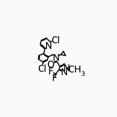 Cn1cc(C(=O)N(Cc2cc(Cl)ccc2-c2cccc(Cl)n2)C2CC2)c(C(F)F)n1